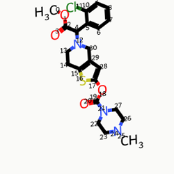 COC(=O)C(c1ccccc1Cl)N1CCc2sc(OC(=O)N3CCN(C)CC3)cc2C1